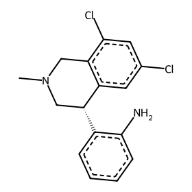 CN1Cc2c(Cl)cc(Cl)cc2[C@H](c2ccccc2N)C1